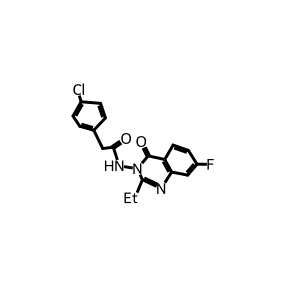 CCc1nc2cc(F)ccc2c(=O)n1NC(=O)Cc1ccc(Cl)cc1